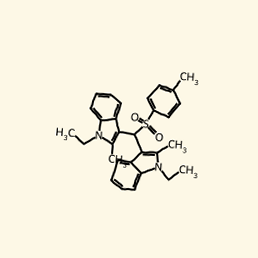 CCn1c(C)c(C(c2c(C)n(CC)c3ccccc23)S(=O)(=O)c2ccc(C)cc2)c2ccccc21